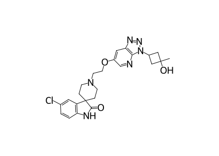 CC1(O)CC(n2nnc3cc(OCCN4CCC5(CC4)C(=O)Nc4ccc(Cl)cc45)cnc32)C1